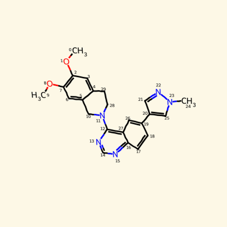 COc1cc2c(cc1OC)CN(c1ncnc3ccc(-c4cnn(C)c4)cc13)CC2